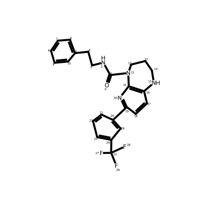 O=C(NCCc1ccccc1)N1CCCNc2ccc(-c3cccc(C(F)(F)F)c3)nc21